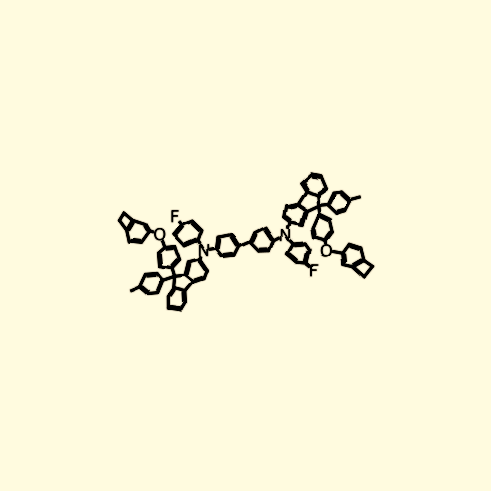 Cc1ccc(C2(c3ccc(Oc4ccc5c(c4)CC5)cc3)c3ccccc3-c3ccc(N(c4ccc(F)cc4)c4ccc(-c5ccc(N(c6ccc(F)cc6)c6ccc7c(c6)C(c6ccc(C)cc6)(c6ccc(Oc8ccc9c(c8)CC9)cc6)c6ccccc6-7)cc5)cc4)cc32)cc1